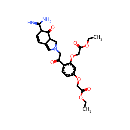 CCOC(=O)COc1ccc(C(=O)CN2C=C3C=CC(C(=N)N)C(=O)C3C2)c(OCC(=O)OCC)c1